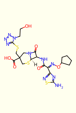 Nc1nc(C(=NOC2CCCC2)C(=O)NC2C(=O)N3CC(CSc4nnnn4CCO)(C(=O)O)CS[C@H]23)ns1